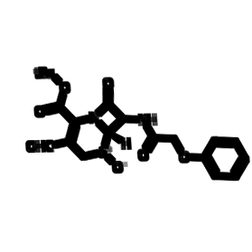 CC(C)(C)OC(=O)C1=C(C=O)C[S+]([O-])[C@H]2C(NC(=O)COc3ccccc3)C(=O)N12